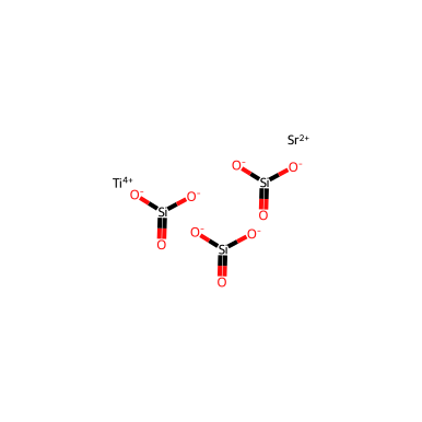 O=[Si]([O-])[O-].O=[Si]([O-])[O-].O=[Si]([O-])[O-].[Sr+2].[Ti+4]